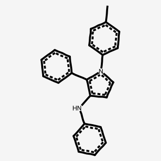 Cc1ccc(-n2ccc(Nc3ccccc3)c2-c2ccccc2)cc1